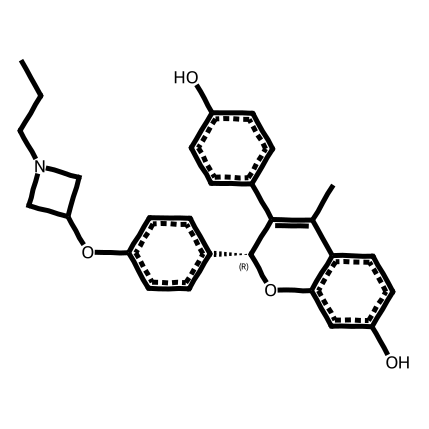 CCCN1CC(Oc2ccc([C@H]3Oc4cc(O)ccc4C(C)=C3c3ccc(O)cc3)cc2)C1